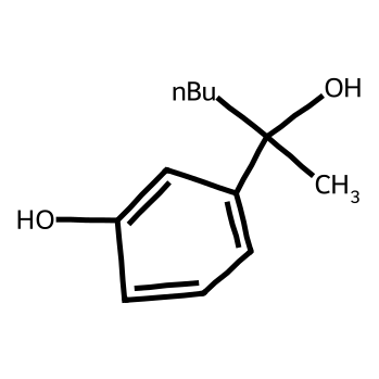 CCCCC(C)(O)c1cccc(O)c1